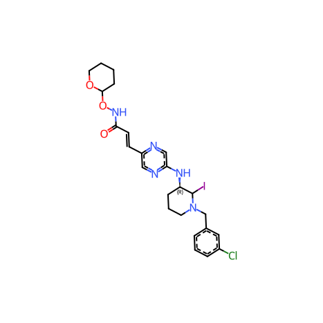 O=C(C=Cc1cnc(N[C@@H]2CCCN(Cc3cccc(Cl)c3)C2I)cn1)NOC1CCCCO1